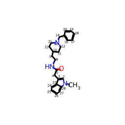 Cn1cc(CC(=O)NCCC2CCN(Cc3ccccc3)CC2)c2ccccc21